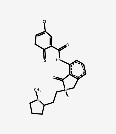 CN1CCCC1CC[N+]1([O-])Cc2cccc(NC(=O)C3=CC(Cl)=CCC3=S)c2C1=O